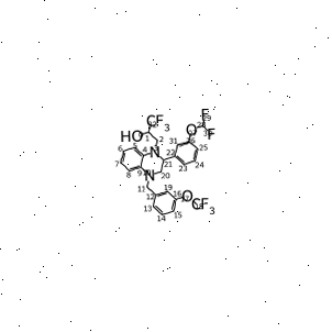 O[C@H](CN1c2ccccc2N(Cc2cccc(OC(F)(F)F)c2)CC1c1cccc(OC(F)F)c1)C(F)(F)F